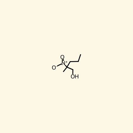 CCCC(C)(CO)[N+](=O)[O-]